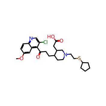 COc1ccc2ncc(Cl)c(C(=O)CCC3CCN(CCSC4CCCC4)CC3CC(=O)O)c2c1